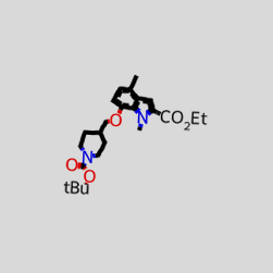 CCOC(=O)c1cc2c(C)ccc(OCC3CCN(C(=O)OC(C)(C)C)CC3)c2n1C